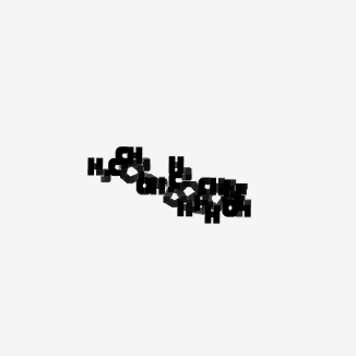 CC1(C)CCC(O)(CCC[C@H]2CC[C@H]3[C@@H]4CC[C@H]5C[C@](O)(C(F)(F)F)CC[C@]5(C)C4CC[C@]23C)CC1